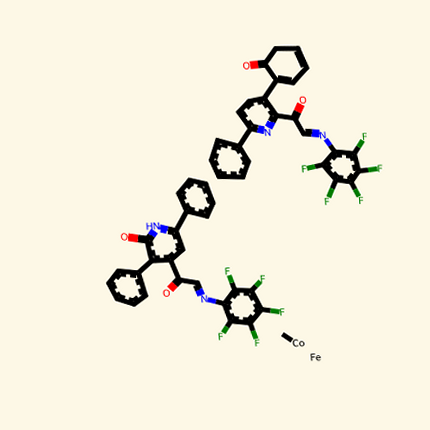 O=C(C=Nc1c(F)c(F)c(F)c(F)c1F)c1cc(-c2ccccc2)[nH]c(=O)c1-c1ccccc1.O=C1CC=CC=C1c1ccc(-c2ccccc2)nc1C(=O)C=Nc1c(F)c(F)c(F)c(F)c1F.[CH3][Co].[Fe]